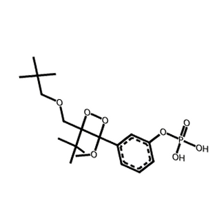 COC1(c2cccc(OP(=O)(O)O)c2)OOC1(COCC(C)(C)C)C(C)(C)C